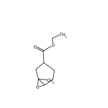 CCOC(=O)C1CCC2OC2(C)C1